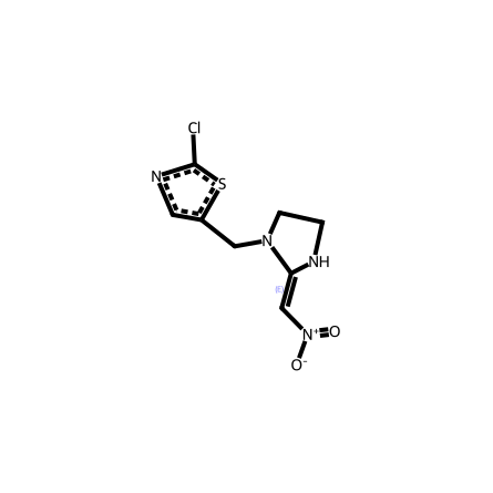 O=[N+]([O-])/C=C1\NCCN1Cc1cnc(Cl)s1